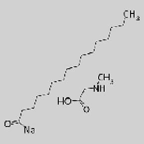 CCCCCCCCCCCCCCC[C](=O)[Na].CNCC(=O)O